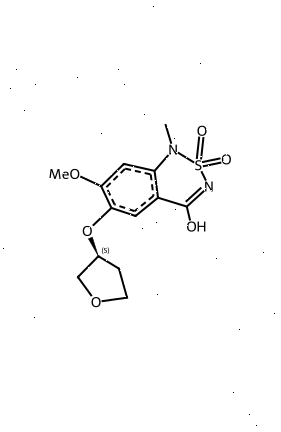 COc1cc2c(cc1O[C@H]1CCOC1)C(O)=NS(=O)(=O)N2C